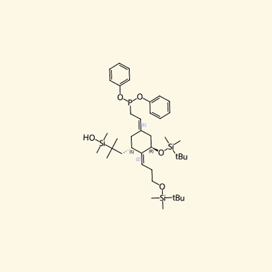 CC(C)(C[C@@H]1C/C(=C\CP(Oc2ccccc2)Oc2ccccc2)C[C@@H](O[Si](C)(C)C(C)(C)C)/C1=C\CCO[Si](C)(C)C(C)(C)C)[Si](C)(C)O